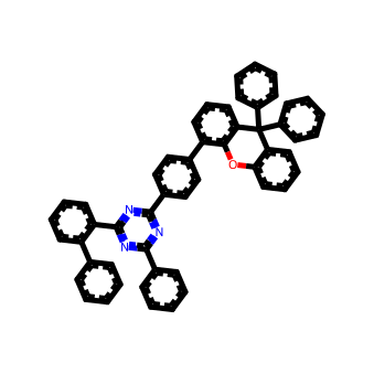 c1ccc(-c2nc(-c3ccc(-c4cccc5c4Oc4ccccc4C5(c4ccccc4)c4ccccc4)cc3)nc(-c3ccccc3-c3ccccc3)n2)cc1